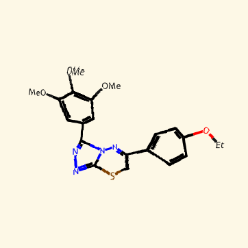 CCOc1ccc(C2=Nn3c(nnc3-c3cc(OC)c(OC)c(OC)c3)SC2)cc1